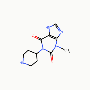 Cn1c(=O)n(C2CCNCC2)c(=O)c2[nH]cnc21